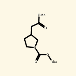 COC(=O)CC1CCN(C(=O)OC(C)(C)C)C1